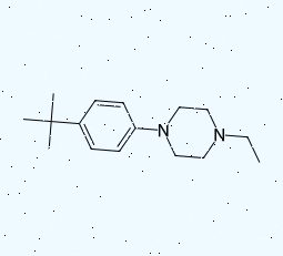 CCN1CCN(c2ccc(C(C)(C)C)cc2)CC1